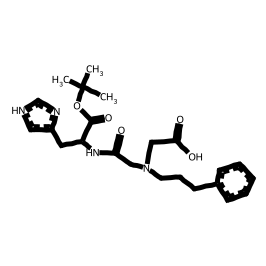 CC(C)(C)OC(=O)C(Cc1c[nH]cn1)NC(=O)CN(CCCc1ccccc1)CC(=O)O